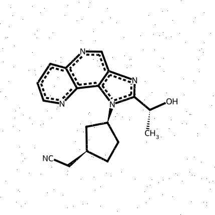 C[C@@H](O)c1nc2cnc3cccnc3c2n1[C@H]1CC[C@@H](CC#N)C1